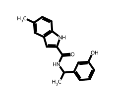 Cc1ccc2[nH]c(C(=O)NC(C)c3cccc(O)c3)cc2c1